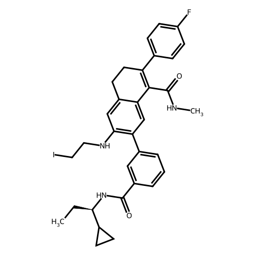 CC[C@@H](NC(=O)c1cccc(-c2cc3c(cc2NCCI)CCC(c2ccc(F)cc2)=C3C(=O)NC)c1)C1CC1